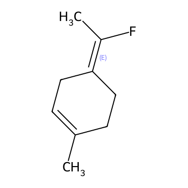 CC1=CC/C(=C(\C)F)CC1